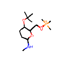 CNC1CCC(OC(C)(C)C)C(CO[PH](C)(C)C)O1